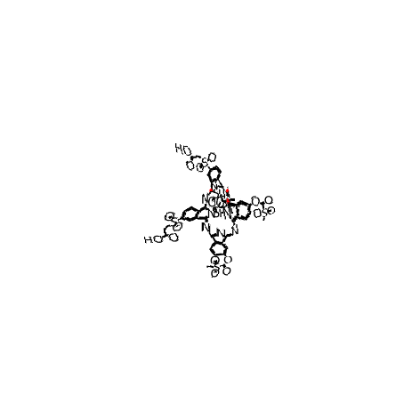 C[Si](C)(C)O[Si]1(O[Si](C)(C)C)n2c3c4cc(OC(=O)S(C)(=O)=O)ccc4c2/N=C2N=C(/N=c4/c5cc(S(=O)(=O)CC(=O)O)ccc5/c(n41)=N/C1=NC(=N\3)/c3ccc(S(=O)(=O)CC(=O)O)cc31)c1ccc(OC(=O)S(C)(=O)=O)cc1\2